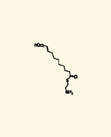 CCCCCCCCC=CCCCCCCCC(=O)SCCN